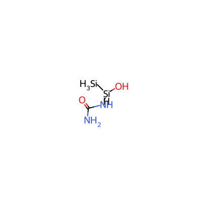 NC(=O)N[SiH](O)[SiH3]